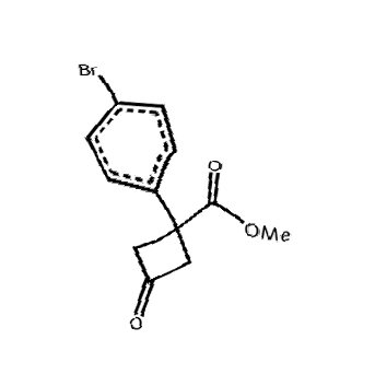 COC(=O)C1(c2ccc(Br)cc2)CC(=O)C1